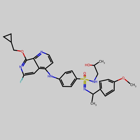 COc1ccc(C(C)N=S(=O)(NCC(C)O)c2ccc(Nc3ccnc4c(OCC5CC5)nc(F)cc34)cc2)cc1